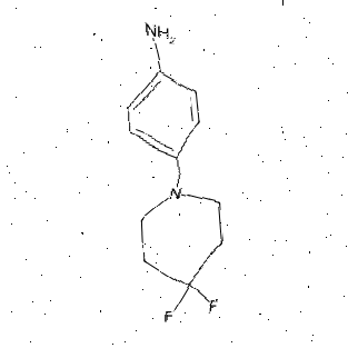 Nc1ccc(N2CCC(F)(F)CC2)cc1